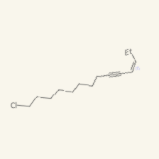 CC/C=C\C#CCCCCCCCCCl